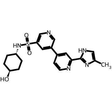 Cc1c[nH]c(-c2cc(-c3cncc(S(=O)(=O)N[C@H]4CC[C@H](O)CC4)c3)ccn2)n1